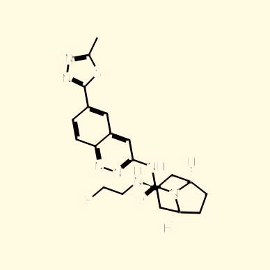 Cc1nnc(-c2ccc3nnc(NC(=O)N4[C@@H]5CC[C@H]4C[C@@H](NCCF)C5)cc3c2)s1